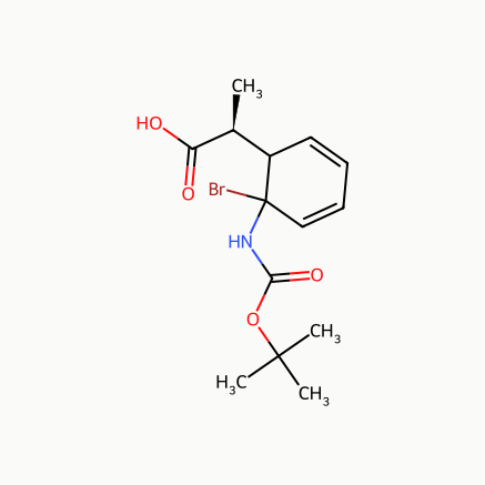 C[C@H](C(=O)O)C1C=CC=CC1(Br)NC(=O)OC(C)(C)C